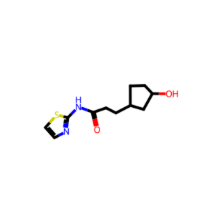 O=C(CCC1CCC(O)C1)Nc1nccs1